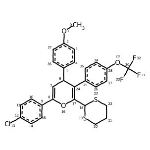 COc1ccc(C2C=C(c3ccc(Cl)cc3)OC(C3SCCCS3)=C2c2ccc(OC(F)(F)F)cc2)cc1